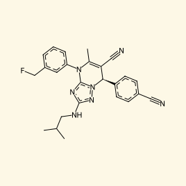 CC1=C(C#N)[C@@H](c2ccc(C#N)cc2)n2nc(NCC(C)C)nc2N1c1cccc(CF)c1